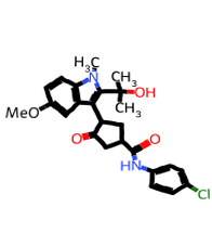 COc1ccc2c(c1)c(C1CC(C(=O)Nc3ccc(Cl)cc3)CC1=O)c(C(C)(C)O)n2C